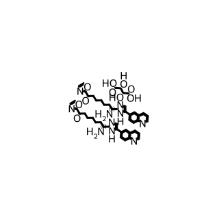 N[C@@H](CCCCCC(=O)c1ncco1)c1ncc(-c2ccc3ncccc3c2)[nH]1.N[C@@H](CCCCCC(=O)c1ncco1)c1ncc(-c2ccc3ncccc3c2)[nH]1.O=C(O)C(O)C(O)C(=O)O